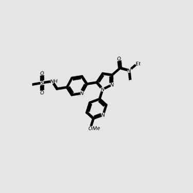 CCN(C)C(=O)c1cc(-c2ccc(CNS(C)(=O)=O)cn2)n(-c2ccc(OC)nc2)n1